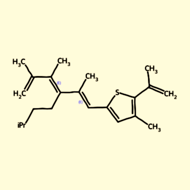 C=C(C)/C(C)=C(CCC(C)C)/C(C)=C/c1cc(C)c(C(=C)C)s1